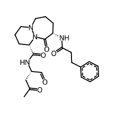 CC(=O)C[C@@H](C=O)NC(=O)[C@@H]1CCCN2CCC[C@H](NC(=O)CCc3ccccc3)C(=O)N12